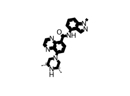 C[C@@H]1CN(c2ccc(C(=O)Nc3cccc4c3cnn4C)c3nccnc23)C[C@H](C)N1